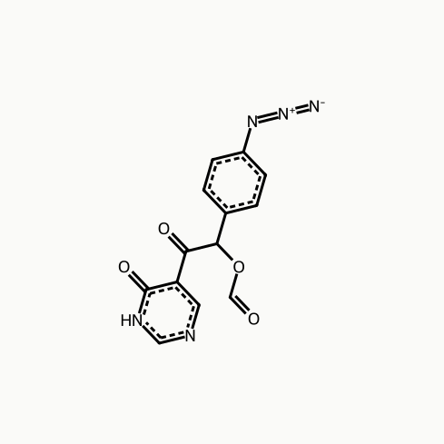 [N-]=[N+]=Nc1ccc(C(OC=O)C(=O)c2cnc[nH]c2=O)cc1